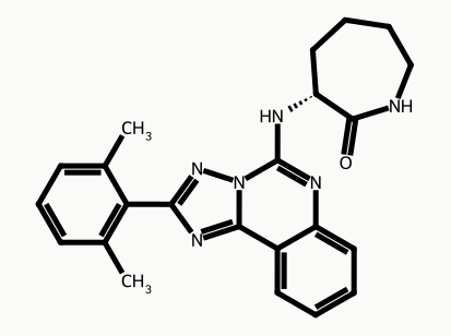 Cc1cccc(C)c1-c1nc2c3ccccc3nc(N[C@@H]3CCCCNC3=O)n2n1